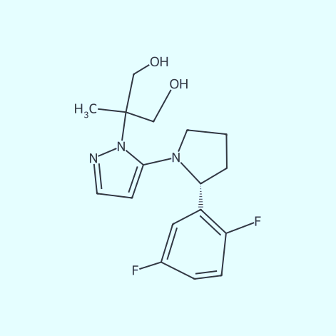 CC(CO)(CO)n1nccc1N1CCC[C@@H]1c1cc(F)ccc1F